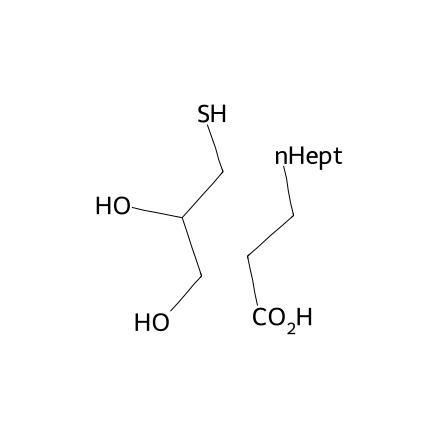 CCCCCCCCCC(=O)O.OCC(O)CS